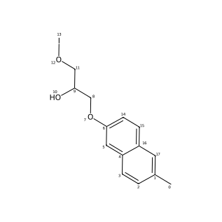 Cc1ccc2cc(OCC(O)COI)ccc2c1